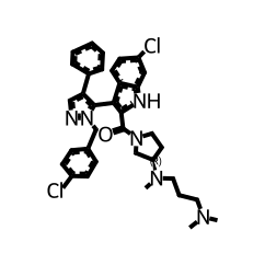 CN(C)CCCN(C)[C@@H]1CCN(C(=O)c2[nH]c3cc(Cl)ccc3c2-c2c(-c3ccccc3)cnn2Cc2ccc(Cl)cc2)C1